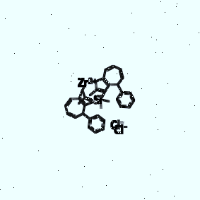 CC1=C2C3=C(C=CC=CC3c3ccccc3)[CH]1[Zr+2][CH]1C(C)=C(C3=C1C=CC=CC3c1ccccc1)[Si]2(C)C.[Cl-].[Cl-]